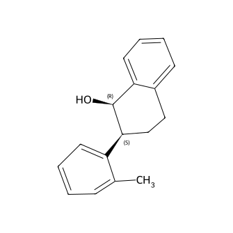 Cc1ccccc1[C@@H]1CCc2ccccc2[C@@H]1O